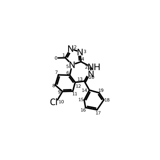 Cc1nnc2n1-c1ccc(Cl)cc1C(c1ccccc1)=NN2